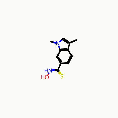 Cc1cn(C)c2cc(C(=S)NO)ccc12